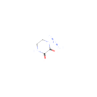 N=[N+]=N.O=C1NCCNC1=O